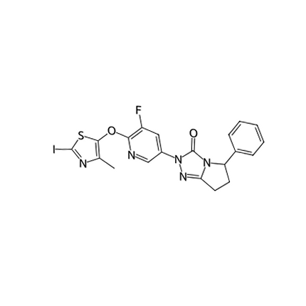 Cc1nc(I)sc1Oc1ncc(-n2nc3n(c2=O)C(c2ccccc2)CC3)cc1F